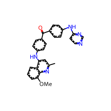 COc1cccc2c(Nc3ccc(C(=O)c4ccc(Nc5ccncn5)cc4)cc3)cc(C)nc12